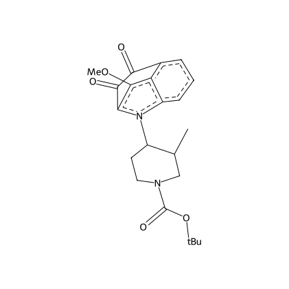 COc1c2n(C3CCN(C(=O)OC(C)(C)C)CC3C)c3cccc(c13)C(=O)C2=O